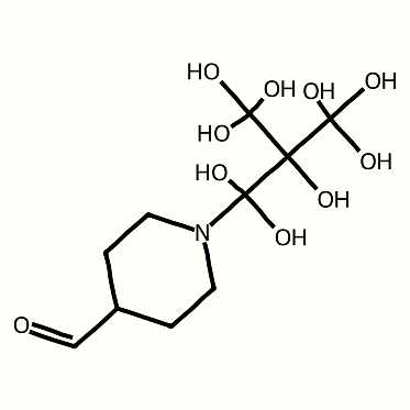 O=CC1CCN(C(O)(O)C(O)(C(O)(O)O)C(O)(O)O)CC1